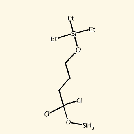 CC[Si](CC)(CC)OCCCC(Cl)(Cl)O[SiH3]